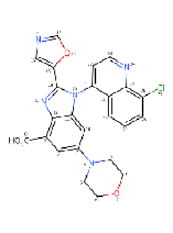 O=C(O)c1cc(N2CCOCC2)cc2c1nc(-c1cnco1)n2-c1ccnc2c(Cl)cccc12